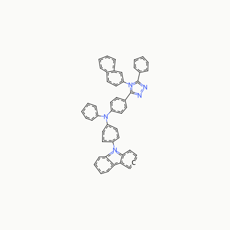 c1ccc(-c2nnc(-c3ccc(N(c4ccccc4)c4ccc(-n5c6ccccc6c6ccccc65)cc4)cc3)n2-c2ccc3ccccc3c2)cc1